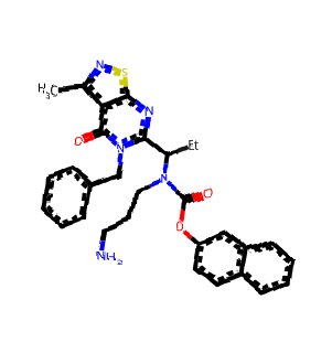 CCC(c1nc2snc(C)c2c(=O)n1Cc1ccccc1)N(CCCN)C(=O)Oc1ccc2ccccc2c1